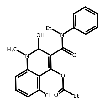 CCC(=O)OC1=C(C(=O)N(CC)c2ccccc2)C(O)N(C)c2cccc(Cl)c21